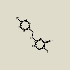 Cc1c[nH]c(SCc2ccc(F)cc2)nc1=O